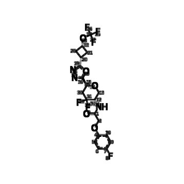 O=C(COc1ccc(F)cc1)N[C@H]1CO[C@H](c2nnc([C@H]3C[C@@H](OC(F)(F)F)C3)o2)CC1(F)F